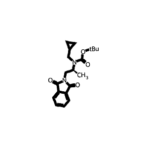 C[C@@H](CN1C(=O)c2ccccc2C1=O)N(CC1CC1)C(=O)OC(C)(C)C